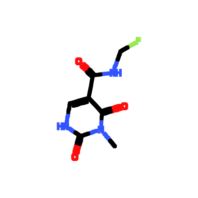 Cn1c(=O)[nH]cc(C(=O)NCF)c1=O